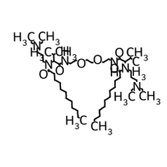 CCCCCCCCCCCC(=O)N(CCCN(CC)CC)C(C(=O)NCCOCCOCCNC(=O)C(C(C)C)N(CCCN(CC)CC)C(=O)CCCCCCCCCCC)C(C)C